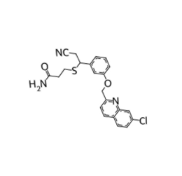 N#CCC(SCCC(N)=O)c1cccc(OCc2ccc3ccc(Cl)cc3n2)c1